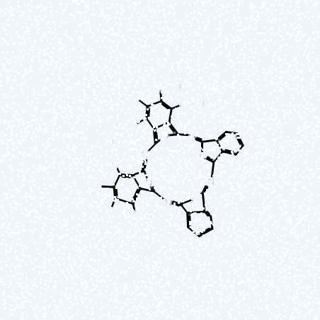 O=C(O)c1c(C(=O)O)c(C(=O)O)c2c(c1C(=O)O)-c1nc-2nc2[nH]c(nc3nc(nc4[nH]c(n1)c1ccccc41)-c1ccccc1-3)c1c(C(=O)O)c(C(=O)O)c(C(=O)O)c(C(=O)O)c21.[Cu]